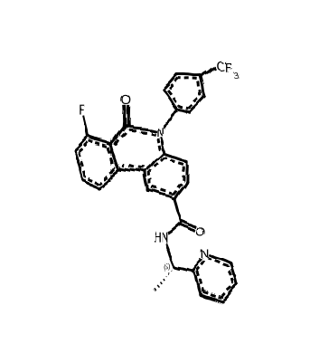 C[C@H](NC(=O)c1ccc2c(c1)c1cccc(F)c1c(=O)n2-c1ccc(C(F)(F)F)cc1)c1ccccn1